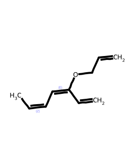 C=CCO/C(C=C)=C/C=C\C